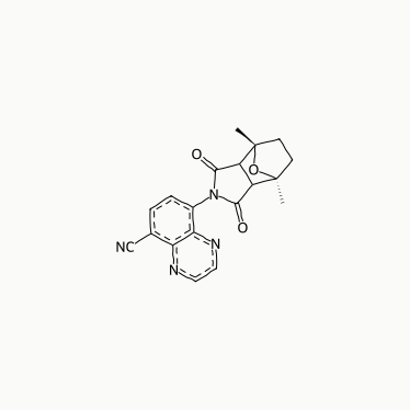 C[C@@]12CC[C@](C)(O1)C1C(=O)N(c3ccc(C#N)c4nccnc34)C(=O)C12